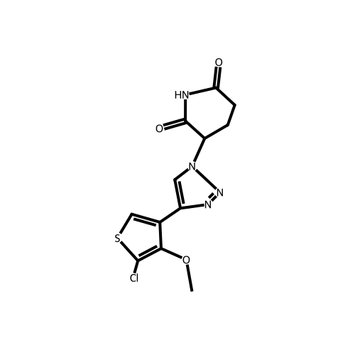 COc1c(-c2cn(C3CCC(=O)NC3=O)nn2)csc1Cl